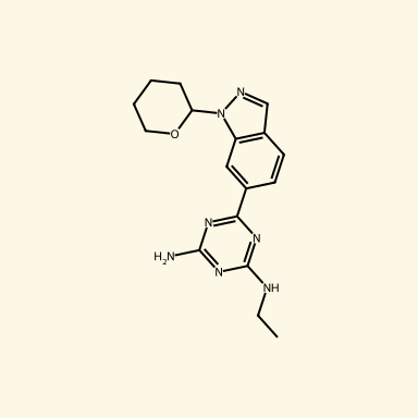 CCNc1nc(N)nc(-c2ccc3cnn(C4CCCCO4)c3c2)n1